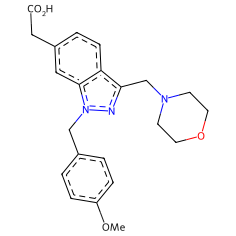 COc1ccc(Cn2nc(CN3CCOCC3)c3ccc(CC(=O)O)cc32)cc1